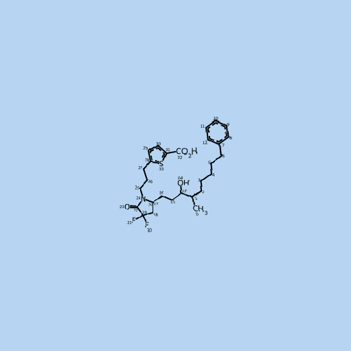 CC(CCCCCc1ccccc1)C(O)CC[C@H]1CC(F)(F)C(=O)N1CCCc1ccc(C(=O)O)s1